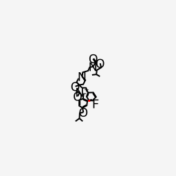 CC(C)COc1ccc(C[N+]2([O-])COC3(CCN(CCCN4C(=O)OCC4C(C)C)CC3)C2Cc2ccc(F)cc2)cc1